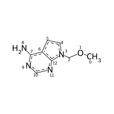 COCn1ccc2c(N)ncnc21